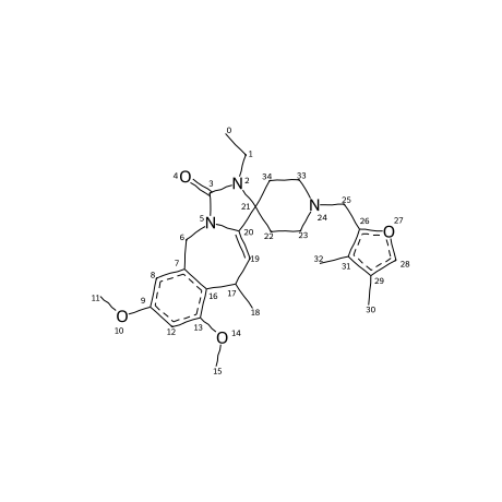 CCN1C(=O)N2Cc3cc(OC)cc(OC)c3C(C)C=C2C12CCN(Cc1occ(C)c1C)CC2